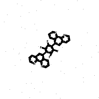 Fc1c(F)c(-c2cc3cccnc3c3ncccc23)c(F)c(F)c1-c1cc2cccnc2c2ncccc12